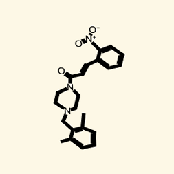 Cc1cccc(C)c1CN1CCN(C(=O)/C=C/c2ccccc2[N+](=O)[O-])CC1